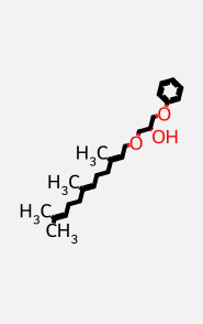 CC(C)=CCC/C(C)=C/CC/C(C)=C/COCC(O)COc1ccccc1